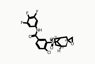 C[C@H]1C[C@H]2C[C@]3(CO3)CC1C2S(=O)(=O)c1cc(C(=O)Nc2cc(F)c(F)c(F)c2)ccc1Cl